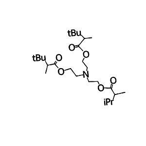 CC(C)C(C)C(=O)OCCN(CCOC(=O)C(C)C(C)(C)C)CCOC(=O)C(C)C(C)(C)C